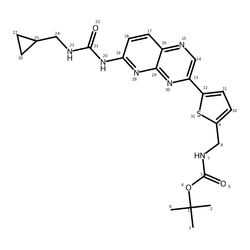 CC(C)(C)OC(=O)NCc1ccc(-c2cnc3ccc(NC(=O)NCC4CC4)nc3n2)s1